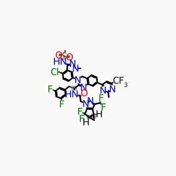 Cc1nc(-c2ccc3c(c2)N=C([C@H](Cc2cc(F)cc(F)c2)NC(=O)Cn2nc(C(F)F)c4c2C(F)(F)[C@@H]2C[C@H]42)N(c2ccc(Cl)c4c(NS(C)(=O)=O)nn(C)c24)C3)cc(C(F)(F)F)n1